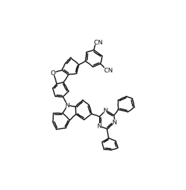 N#Cc1cc(C#N)cc(-c2ccc3oc4ccc(-n5c6ccccc6c6cc(-c7nc(-c8ccccc8)nc(-c8ccccc8)n7)ccc65)cc4c3c2)c1